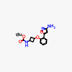 CC(C)(C)OC(=O)NC1CC(Oc2ccccc2-c2cc(N)no2)C1